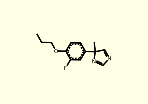 CCCOc1ccc(C2(C)C=NC=N2)cc1F